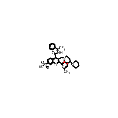 CCS(=O)(=O)c1ccc2c(C(=O)N[C@H](c3ccccc3)C(F)(F)F)c(CN3CCC(N4CCCCC4)CC3)c(-c3cccc(C(F)(F)F)c3)nc2c1